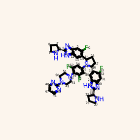 Fc1cc2nc([C@@H]3CCCN3)[nH]c2cc1C1CC[C@H](c2cc3[nH]c([C@@H]4CCCN4)nc3cc2F)N1c1cc(F)c(N2CCN(c3ncccn3)CC2)c(F)c1